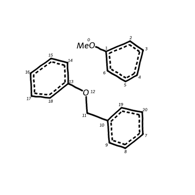 COc1ccccc1.c1ccc(COc2ccccc2)cc1